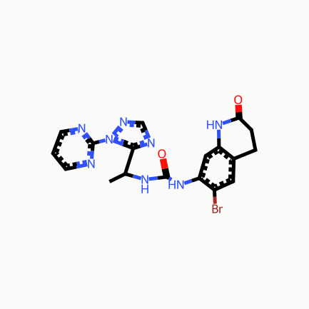 CC(NC(=O)Nc1cc2c(cc1Br)CCC(=O)N2)c1ncnn1-c1ncccn1